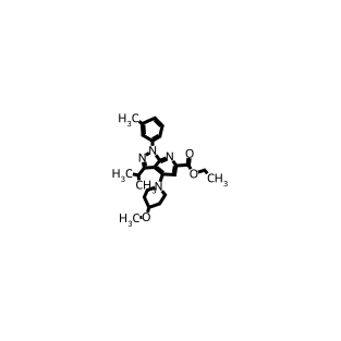 CCOC(=O)c1cc(N2CCC(OC)CC2)c2c(C(C)C)nn(-c3cccc(C)c3)c2n1